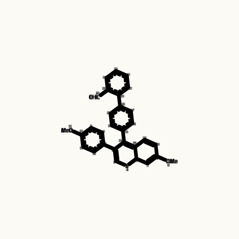 COC1=CC2SC=C(c3ccc(OC)cc3)C(c3ccc(-c4ccccc4C=O)cc3)=C2C=C1